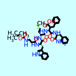 CSCC[C@H](NC(=O)[C@H](Cc1c[nH]c2ccccc12)NC(=O)CCNC(=O)OC(C)(C)C)C(=O)N[C@H](C(=O)N[C@@H](Cc1ccccc1)C(N)=O)C(Cc1ccccc1)C(=O)O